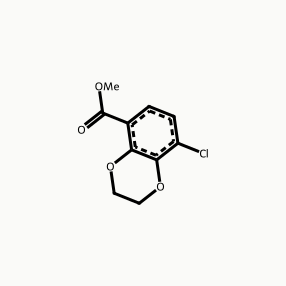 COC(=O)c1ccc(Cl)c2c1OCCO2